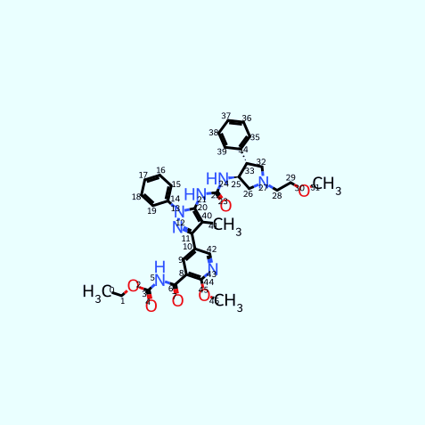 CCOC(=O)NC(=O)c1cc(-c2nn(-c3ccccc3)c(NC(=O)N[C@@H]3CN(CCOC)C[C@H]3c3ccccc3)c2C)cnc1OC